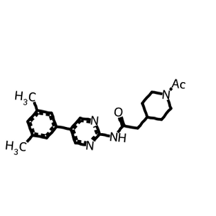 CC(=O)N1CCC(CC(=O)Nc2ncc(-c3cc(C)cc(C)c3)cn2)CC1